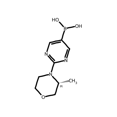 C[C@@H]1COCCN1c1ncc(B(O)O)cn1